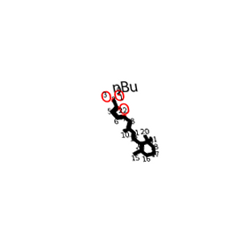 CCCCOC(=O)c1ccc(/C=C(\C)C=CC2=C(C)CCCC2(C)C)o1